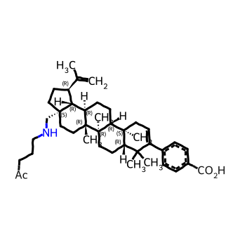 C=C(C)[C@@H]1CC[C@]2(CNCCCC(C)=O)CC[C@]3(C)[C@H](CC[C@@H]4[C@@]5(C)CC=C(c6ccc(C(=O)O)cc6)C(C)(C)[C@@H]5CC[C@]43C)[C@@H]12